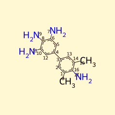 Cc1cc(-c2cc(N)c(N)c(N)c2)cc(C)c1N